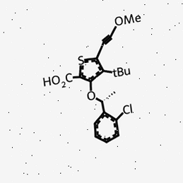 COC#Cc1sc(C(=O)O)c(O[C@H](C)c2ccccc2Cl)c1C(C)(C)C